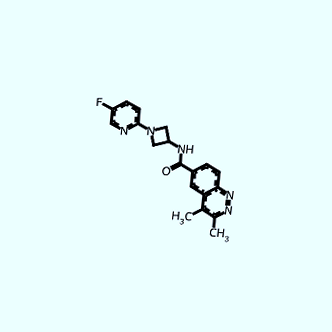 Cc1nnc2ccc(C(=O)NC3CN(c4ccc(F)cn4)C3)cc2c1C